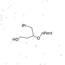 CCCCCOC(CCO)CC(C)C